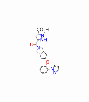 O=C(O)c1cc(C(=O)N2CC3CC(Oc4ccccc4-n4cccn4)CC3C2)[nH]n1